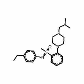 CCc1ccc(N=S(C)(=O)c2ccccc2N2CCN(CC(C)C)CC2)cc1